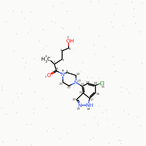 CC(CCCO)C(=O)N1CCN(c2cc(Cl)cc3[nH]ncc23)CC1